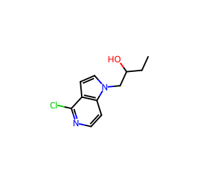 CCC(O)Cn1ccc2c(Cl)nccc21